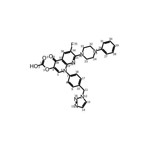 O=C(O)Oc1cn(-c2ccc(Cn3ccnn3)cc2)c2nc(N3CCN(c4ccccc4)CC3)c(F)cc2c1=O